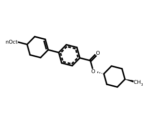 CCCCCCCCC1CC=C(c2ccc(C(=O)O[C@H]3CC[C@H](C)CC3)cc2)CC1